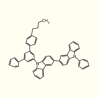 CCCCc1ccc(-c2cc(-c3ccccc3)cc(-n3c4ccccc4c4cc(-c5ccc6c(c5)c5ccccc5n6-c5ccccc5)ccc43)c2)cc1